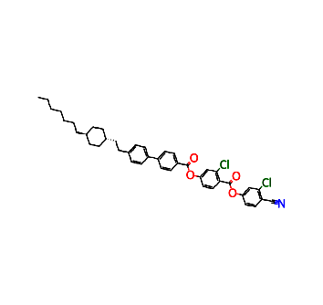 CCCCCCC[C@H]1CC[C@H](CCc2ccc(-c3ccc(C(=O)Oc4ccc(C(=O)Oc5ccc(C#N)c(Cl)c5)c(Cl)c4)cc3)cc2)CC1